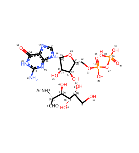 CC(=O)N[C@@H](C=O)[C@@H](O)[C@@H](O)[C@H](O)CO.Nc1nc2c(ncn2[C@@H]2O[C@H](COP(=O)(O)OP(=O)(O)O)[C@@H](O)[C@H]2O)c(=O)[nH]1